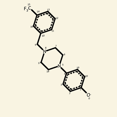 [O]c1ccc(N2CCN(Cc3cccc(C(F)(F)F)c3)CC2)cc1